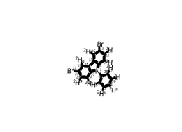 [2H]c1c([2H])c([2H])c(-n2c3c([2H])c([2H])c(Br)c([2H])c3c3c([2H])c(Br)c([2H])c([2H])c32)c([2H])c1[2H]